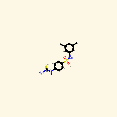 Cc1cc(C)cc(NS(=O)(=O)c2ccc(NC(N)=S)cc2)c1